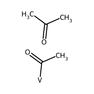 CC(C)=O.C[C](=O)[V]